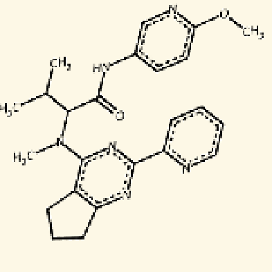 COc1ccc(NC(=O)C(C(C)C)N(C)c2nc(-c3ccccn3)nc3c2CCC3)cn1